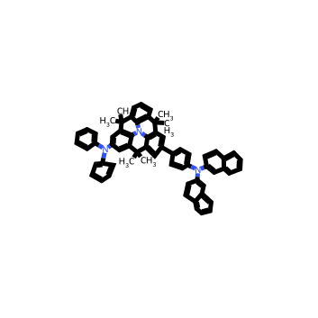 CC1(C)c2cccc3c2N2c4c1cc(-c1ccc(N(c5ccc6ccccc6c5)c5ccc6ccccc6c5)cc1)cc4C(C)(C)c1cc(N(c4ccccc4)c4ccccc4)cc(c12)C3(C)C